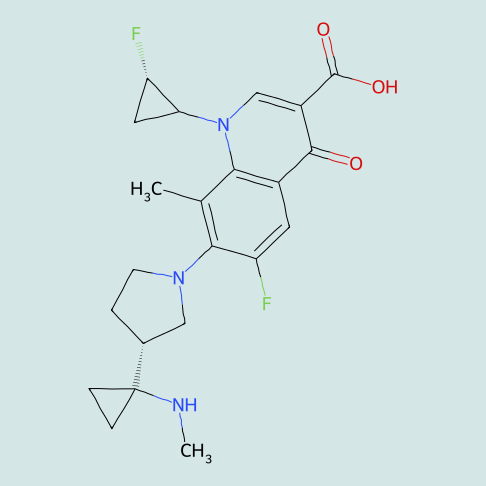 CNC1([C@@H]2CCN(c3c(F)cc4c(=O)c(C(=O)O)cn(C5C[C@@H]5F)c4c3C)C2)CC1